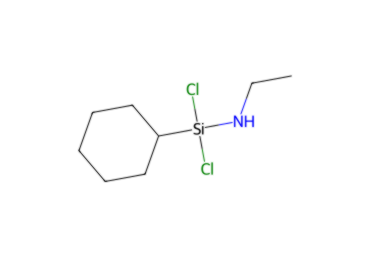 CCN[Si](Cl)(Cl)C1CCCCC1